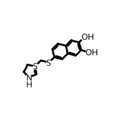 Oc1cc2ccc(SCS3=CNCC3)cc2cc1O